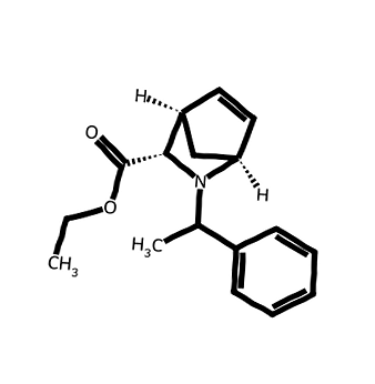 CCOC(=O)[C@@H]1[C@H]2C=C[C@H](C2)N1C(C)c1ccccc1